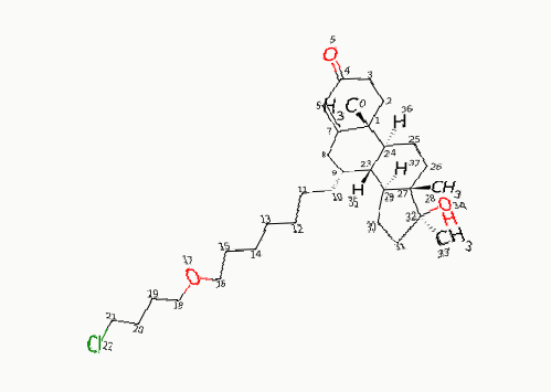 C[C@]12CCC(=O)C=C1C[C@@H](CCCCCCCOCCCCCl)[C@@H]1[C@@H]2CC[C@@]2(C)[C@H]1CC[C@]2(C)O